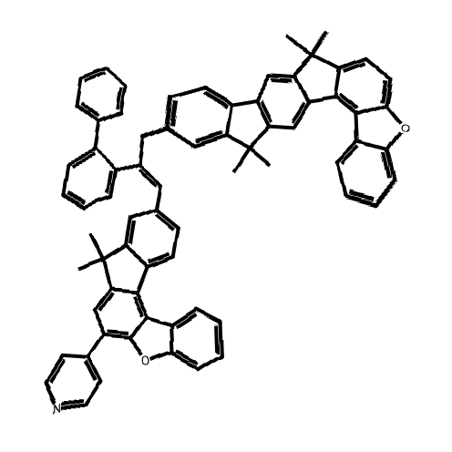 CC1(C)c2cc(C/C(=C/c3ccc4c(c3)C(C)(C)c3cc(-c5ccncc5)c5oc6ccccc6c5c3-4)c3ccccc3-c3ccccc3)ccc2-c2cc3c(cc21)-c1c(ccc2oc4ccccc4c12)C3(C)C